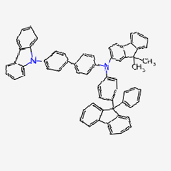 CC1(C)c2ccccc2-c2ccc(N(c3ccc(-c4ccc(-n5c6ccccc6c6ccccc65)cc4)cc3)c3ccc(C4(c5ccccc5)c5ccccc5-c5ccccc54)cc3)cc21